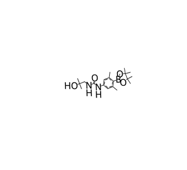 Cc1cc(NC(=O)NCC(C)(C)O)cc(C)c1B1OC(C)(C)C(C)(C)O1